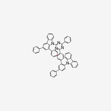 c1ccc(-c2ccc(-n3c4ccccc4c4ccccc43)c(-c3ccc(-c4nc(-c5ccccc5)nc(-n5c6ccccc6c6cc(-c7ccccc7)cc(-c7ccccc7)c65)n4)cc3)c2)cc1